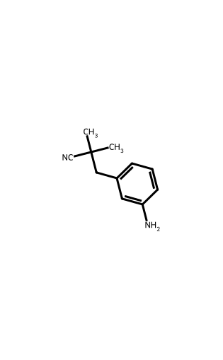 CC(C)(C#N)Cc1cccc(N)c1